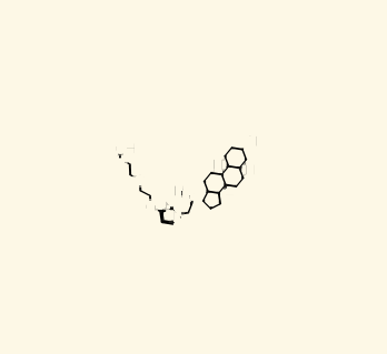 COCCOCCOc1ccn(CC(=O)[C@H]2CCC3[C@@H]4CC[C@@H]5C[C@@H](C)CC[C@@H]5C4CC[C@@]32C)n1